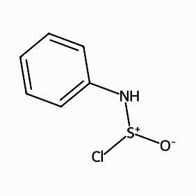 [O-][S+](Cl)Nc1ccccc1